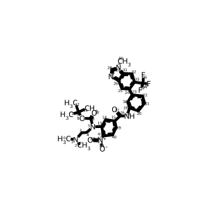 CN(C)CCN(C(=O)OC(C)(C)C)c1cc(C(=O)Nc2cccc(-c3cc4ncn(C)c4cc3C(F)(F)F)c2)ccc1[N+](=O)[O-]